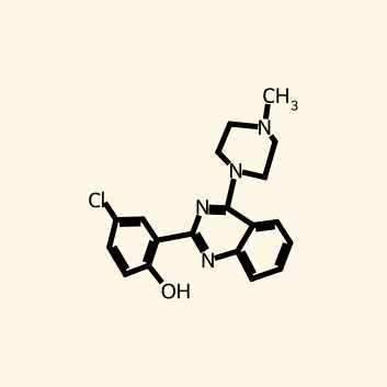 CN1CCN(c2nc(-c3cc(Cl)ccc3O)nc3ccccc23)CC1